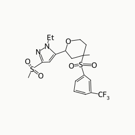 CCn1nc(S(C)(=O)=O)cc1C1CC(C)(S(=O)(=O)c2cccc(C(F)(F)F)c2)CCO1